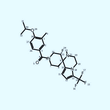 Cc1cc(C(=O)N2CC[C@@]3(c4ccc(C(F)(F)F)n4CCN3C)[C@@H](F)C2)ccc1OC(C)C